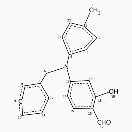 Cc1ccc(N(Cc2ccccc2)c2ccc(C=O)c(O)c2)cc1